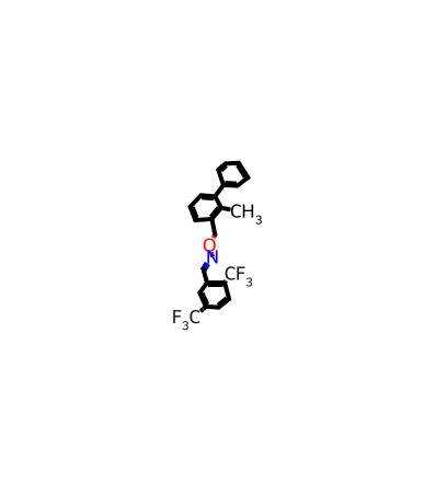 Cc1c(CON=Cc2cc(C(F)(F)F)ccc2C(F)(F)F)cccc1-c1ccccc1